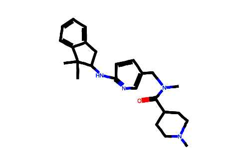 CN1CCC(C(=O)N(C)Cc2ccc(NC3Cc4ccccc4C3(C)C)nc2)CC1